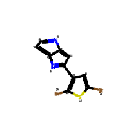 Brc1cc(C2=NC3=CC=NC3=C2)c(Br)s1